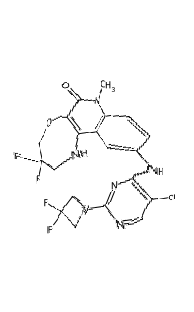 Cn1c(=O)c2c(c3cc(Nc4nc(N5CC(F)(F)C5)ncc4Cl)ccc31)NCC(F)(F)CO2